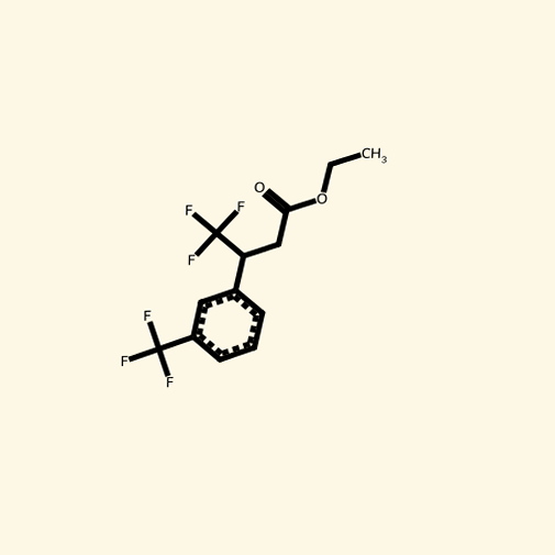 CCOC(=O)CC(c1cccc(C(F)(F)F)c1)C(F)(F)F